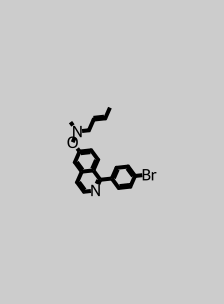 CC=CCN(C)Oc1ccc2c(-c3ccc(Br)cc3)nccc2c1